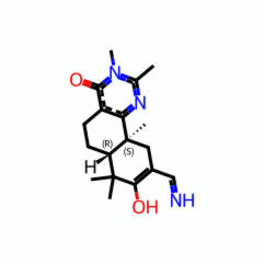 Cc1nc2c(c(=O)n1C)CC[C@H]1C(C)(C)C(O)=C(C=N)C[C@]21C